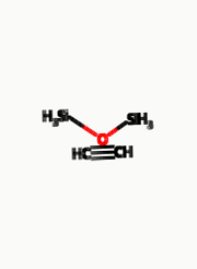 C#C.[SiH3]O[SiH3]